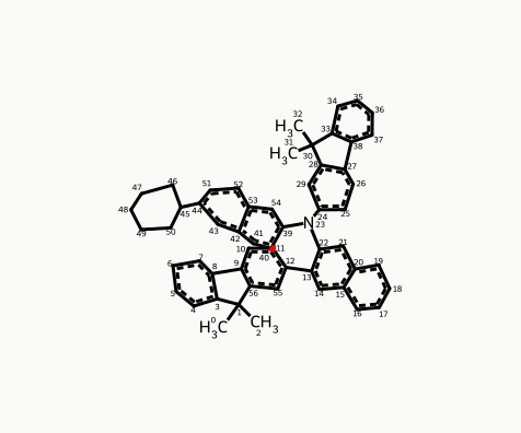 CC1(C)c2ccccc2-c2ccc(-c3cc4ccccc4cc3N(c3ccc4c(c3)C(C)(C)c3ccccc3-4)c3ccc4cc(C5CCCCC5)ccc4c3)cc21